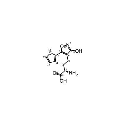 NC(CCc1c(O)noc1-c1cccs1)C(=O)O